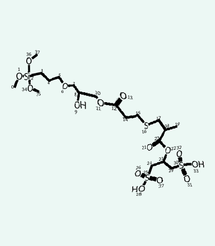 CO[Si](CCCOCC(O)COC(=O)CCSCC(C)C(=O)OC(CS(=O)(=O)O)CS(=O)(=O)O)(OC)OC